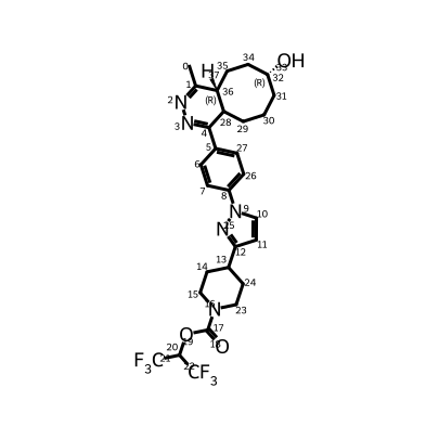 CC1=NN=C(c2ccc(-n3ccc(C4CCN(C(=O)OC(C(F)(F)F)C(F)(F)F)CC4)n3)cc2)C2CCC[C@@H](O)CC[C@@H]12